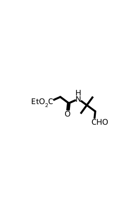 CCOC(=O)CC(=O)NC(C)(C)CC=O